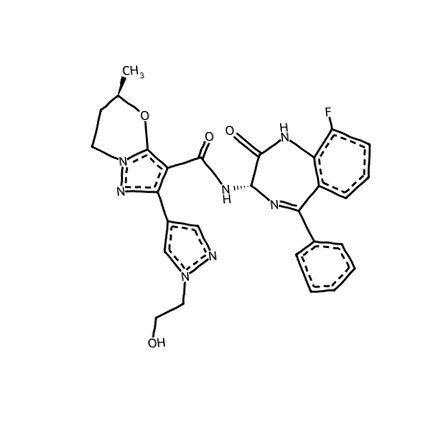 C[C@@H]1CCn2nc(-c3cnn(CCO)c3)c(C(=O)N[C@H]3N=C(c4ccccc4)c4cccc(F)c4NC3=O)c2O1